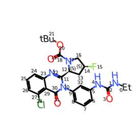 CCNC(=O)Nc1cccc(-n2c([C@@H]3C[C@H](F)CN3C(=O)OC(C)(C)C)nc3cccc(Cl)c3c2=O)c1